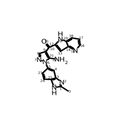 Cc1nc2cc(-n3ncc(C(=O)c4cc5ncccc5[nH]4)c3N)ccc2[nH]1